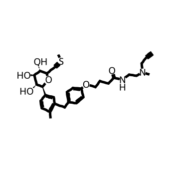 C#CCN(C)CCNC(=O)CCCOc1ccc(Cc2cc([C@@H]3OC(C#SC)[C@@H](O)[C@H](O)[C@H]3O)ccc2C)cc1